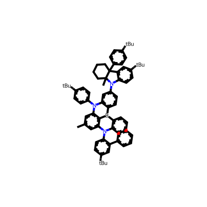 Cc1cc2c3c(c1)N(c1ccc(C(C)(C)C)cc1-c1ccccc1)c1ccccc1B3c1ccc(N3c4ccc(C(C)(C)C)cc4C4(c5ccc(C(C)(C)C)cc5)CCCCC34C)cc1N2c1ccc(C(C)(C)C)cc1